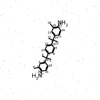 Cc1cc(C(C)(C)c2ccc(C(C)(C)c3ccc(N)c(C)c3)cc2)ccc1N